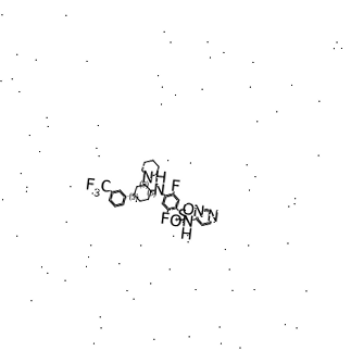 O=S(=O)(Nc1ccncn1)c1cc(F)c(N[C@H]2CC[C@H](c3cccc(C(F)(F)F)c3)C[C@@H]2N2CCCCC2)cc1F